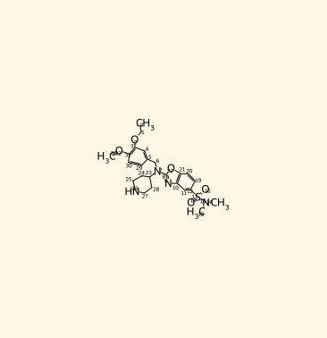 CCOc1cc(CN(c2nc3cc(S(=O)(=O)N(C)C)ccc3o2)C2CCNCC2)ccc1OC